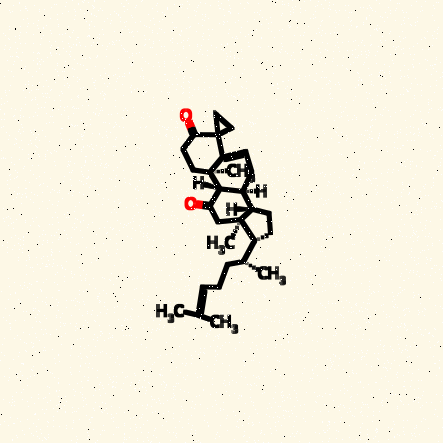 CC(C)=CCC[C@@H](C)[C@H]1CC[C@H]2[C@@H]3CC=C4C5(CC5)C(=O)CC[C@]4(C)[C@H]3C(=O)C[C@]12C